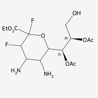 CCOC(=O)C1(F)OC([C@H](OC(C)=O)[C@@H](CO)OC(C)=O)C(N)C(N)C1F